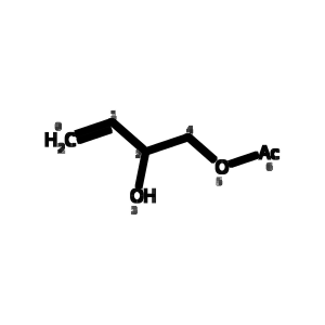 C=CC(O)COC(C)=O